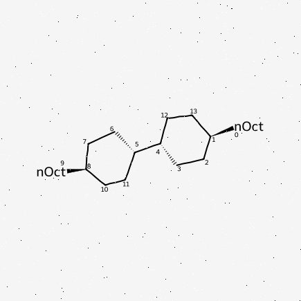 CCCCCCCC[C@H]1CC[C@H]([C@H]2CC[C@H](CCCCCCCC)CC2)CC1